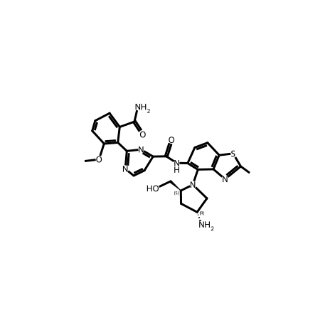 COc1cccc(C(N)=O)c1-c1nccc(C(=O)Nc2ccc3sc(C)nc3c2N2C[C@H](N)C[C@H]2CO)n1